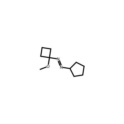 COC1(/N=N/C2CCCC2)CCC1